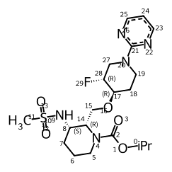 CC(C)OC(=O)N1CCC[C@H](NS(C)(=O)=O)[C@@H]1CO[C@@H]1CCN(c2ncccn2)C[C@H]1F